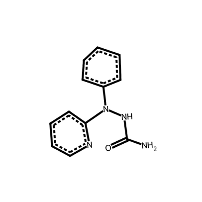 NC(=O)NN(c1ccccc1)c1ccccn1